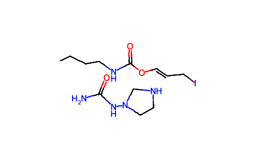 CCCCNC(=O)OC=CCI.NC(=O)NN1CCNC1